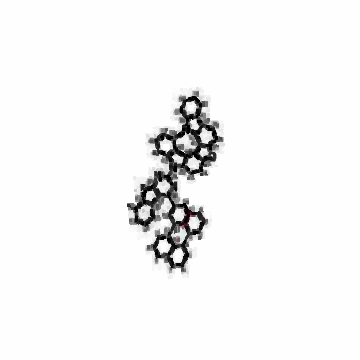 c1ccc(-c2cccc3cccc(-c4cccc(-c5nc(-n6c7ccc8oc9ccc%10c%11ccccc%11n%11c%12cccc6c%12c7c8c9c%10%11)nc6sc7ccccc7c56)c4)c23)cc1